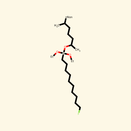 CCCCCCCCCC(C)CCCC(C)O[Si](CCCCCCCCCCF)(OCC)OCC